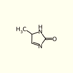 CC1C=NC(=O)N1